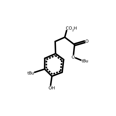 CC(C)(C)OC(=O)C(Cc1ccc(O)c(C(C)(C)C)c1)C(=O)O